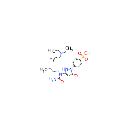 CCCCN(C(N)=O)c1cc(=O)n(-c2ccc(S(=O)(=O)O)cc2)[nH]1.CCN(CC)CC